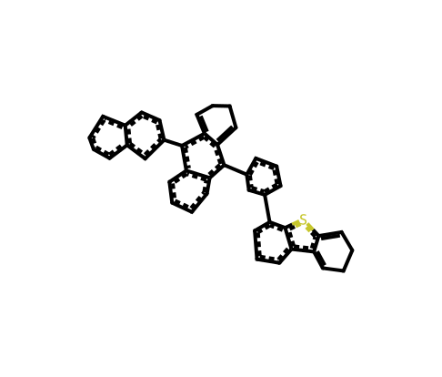 C1=c2sc3c(-c4cccc(-c5c6c(c(-c7ccc8ccccc8c7)c7ccccc57)=CCCC=6)c4)cccc3c2=CCC1